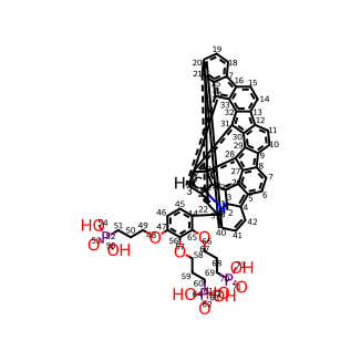 CN1CC23C4=c5ccc6c7ccc8c9ccc%10c%11ccc%12c%13c(c%14c%15c2c5c6c2c7c8c5c9c%10c(c%13%11)c%14c5c%152)C3(C=%12C=C4)C1c1ccc(OCCCP(=O)(O)O)c(OCCCP(=O)(O)O)c1OCCCP(=O)(O)O